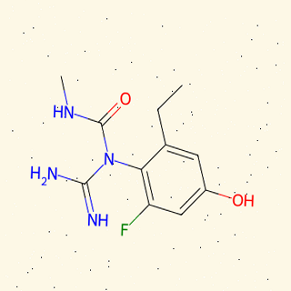 CCc1cc(O)cc(F)c1N(C(=N)N)C(=O)NC